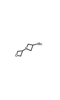 CC(C)(C)C1CN(C2COC2)C1